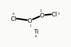 ClOOCl.[Ti]